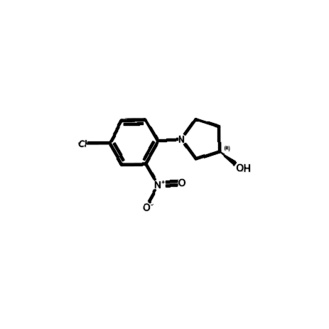 O=[N+]([O-])c1cc(Cl)ccc1N1CC[C@@H](O)C1